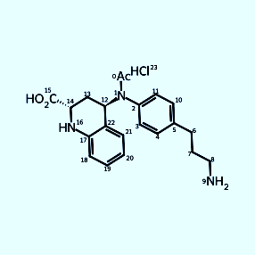 CC(=O)N(c1ccc(CCCN)cc1)[C@@H]1C[C@@H](C(=O)O)Nc2ccccc21.Cl